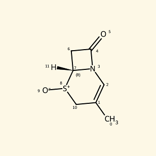 CC1=CN2C(=O)C[C@H]2[S+]([O-])C1